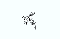 CNc1ccc(C(=O)CN2c3nc(N4CC5CC4CO5)cc(=O)n3CC2(C)C(F)(F)F)cn1